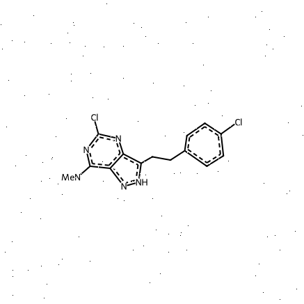 CNc1nc(Cl)nc2c(CCc3ccc(Cl)cc3)[nH]nc12